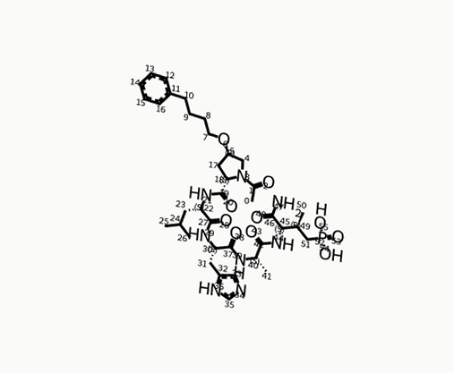 CC(=O)N1C[C@H](OCCCCc2ccccc2)C[C@H]1C(=O)N[C@@H](CC(C)C)C(=O)N[C@@H](Cc1cnc[nH]1)C(=O)N[C@@H](C)C(=O)N[C@H](C(N)=O)[C@@H](C)CP(=O)(O)O